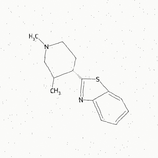 CC1CN(C)CC[C@@H]1c1nc2ccccc2s1